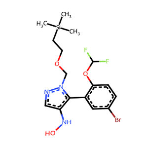 C[Si](C)(C)CCOCn1ncc(NO)c1-c1cc(Br)ccc1OC(F)F